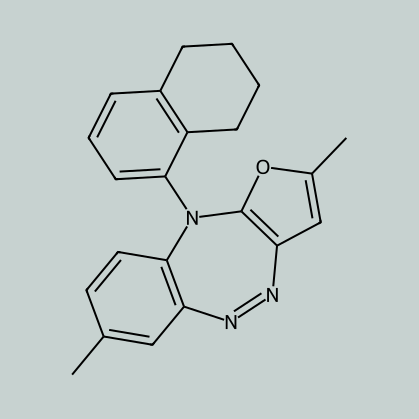 Cc1ccc2c(c1)N=Nc1cc(C)oc1N2c1cccc2c1CCCC2